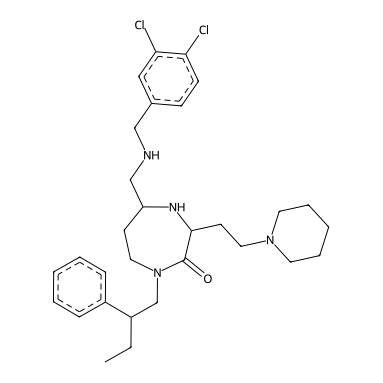 CCC(CN1CCC(CNCc2ccc(Cl)c(Cl)c2)NC(CCN2CCCCC2)C1=O)c1ccccc1